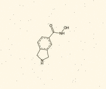 O=C(NO)c1ccc2c(c1)CNC2